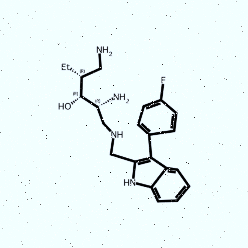 CC[C@H](CN)[C@@H](O)[C@H](N)CNCc1[nH]c2ccccc2c1-c1ccc(F)cc1